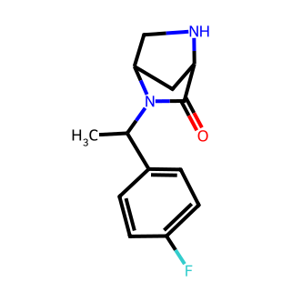 CC(c1ccc(F)cc1)N1C(=O)C2CC1CN2